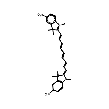 CN1C2=C(CC([N+](=O)[O-])C=C2)C(C)(C)\C1=C/C=C/C=C/C=C/C=C/C1=[N+](C)c2ccc([N+](=O)[O-])cc2C1(C)C